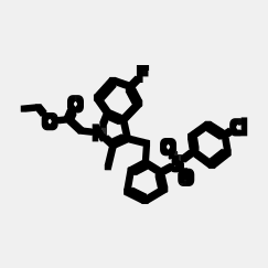 CCOC(=O)Cn1c(C)c(Cc2ccccc2S(=O)(=O)c2ccc(Cl)cc2)c2cc(F)ccc21